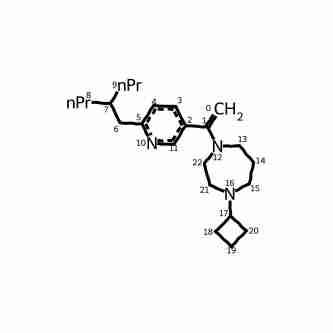 C=C(c1ccc(CC(CCC)CCC)nc1)N1CCCN(C2CCC2)CC1